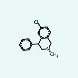 CN1Cc2ccc(Cl)cc2C(c2ccccc2)C1